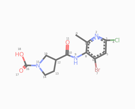 Cc1nc(Cl)cc(Br)c1NC(=O)C1CCN(C(=O)O)C1